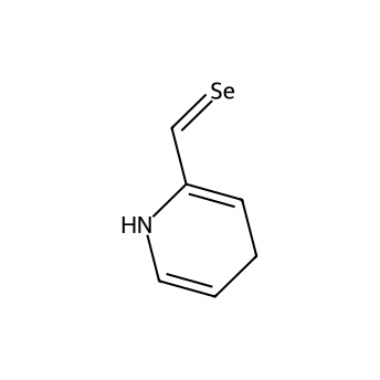 [Se]=CC1=CCC=CN1